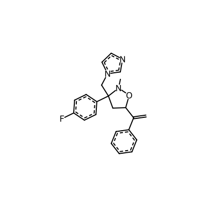 C=C(c1ccccc1)C1CC(Cn2ccnc2)(c2ccc(F)cc2)N(C)O1